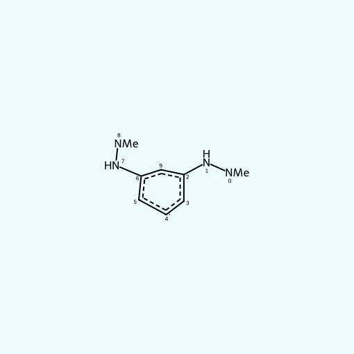 CNNc1c[c]cc(NNC)c1